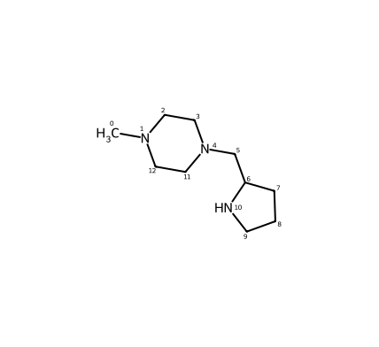 CN1CCN(CC2CCCN2)CC1